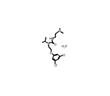 CC(C)N(CCOc1cc(Cl)cc(Cl)c1)C(=O)NCCN(C)C.O